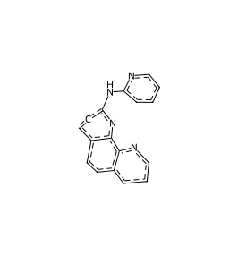 c1ccc(Nc2ccc3ccc4cccnc4c3n2)nc1